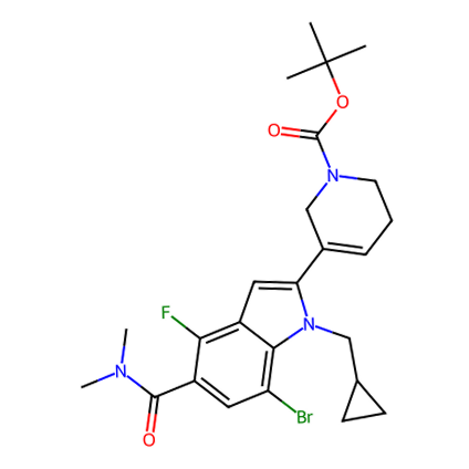 CN(C)C(=O)c1cc(Br)c2c(cc(C3=CCCN(C(=O)OC(C)(C)C)C3)n2CC2CC2)c1F